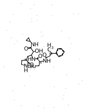 C[C@H](CC(=O)N[C@@H](CC(C)(C)C)C(=O)NC(C[C@@H]1CCNC1=O)C(O)C(=O)NC1CC1)c1ccccc1